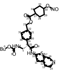 CC(C)(C)OC(=O)NC[C@@H](C(=O)Nc1cc2ccncc2s1)c1ccc(COC(=O)C2CCC(O[N+](=O)[O-])CC2)cc1